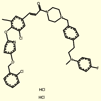 Cc1cc(/C=C/C(=O)N2CCN(Cc3ccc(CCN(C)c4ccc(F)cc4)cc3)CC2)cc(Cl)c1Oc1ccc(OCc2ccccc2Cl)cn1.Cl.Cl